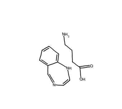 C1=CNc2ccccc2C=N1.NCCCC(=O)O